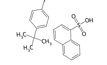 CC(C)(C)c1ccc(I)cc1.O=S(=O)(O)c1cccc2ccccc12